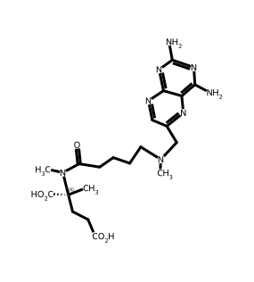 CN(CCCCC(=O)N(C)[C@@](C)(CCC(=O)O)C(=O)O)Cc1cnc2nc(N)nc(N)c2n1